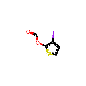 O=COc1sccc1I